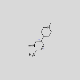 C=N/C=C(\C=C/CN)C1CCN(C)CC1